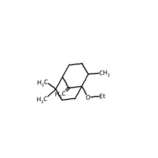 C=C1C2CCC(C)C1(OCC)CCC2(C)C